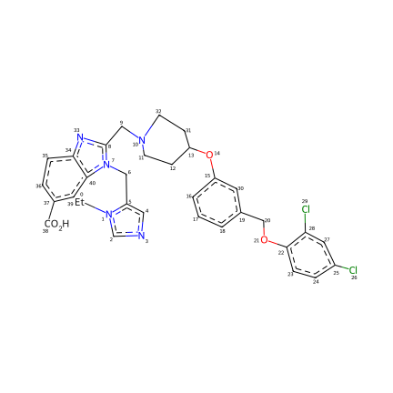 CCn1cncc1Cn1c(CN2CCC(Oc3cccc(COc4ccc(Cl)cc4Cl)c3)CC2)nc2ccc(C(=O)O)cc21